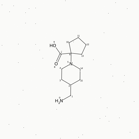 NCC1CCN(C2(C(=O)O)CCCC2)CC1